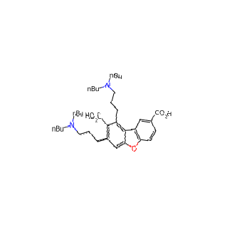 CCCCN(CCCC)CCCc1cc2oc3ccc(C(=O)O)cc3c2c(CCCN(CCCC)CCCC)c1C(=O)O